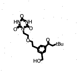 CC(C)(C)CC(=O)c1cc(CO)cc(CCOCCn2c(=O)[nH]c(=O)[nH]c2=O)c1